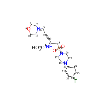 O=C(O)NC(C#CCN1CCOCC1)CS(=O)(=O)N1CCN(c2ccc(F)cc2)CC1